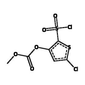 COC(=O)Oc1cc(Cl)sc1S(=O)(=O)Cl